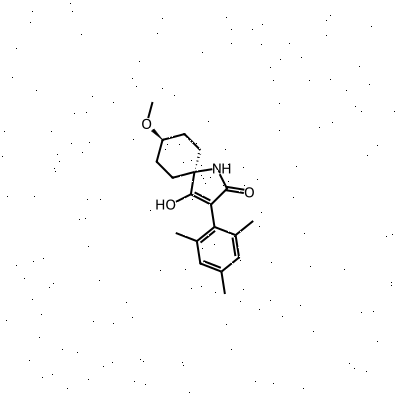 CO[C@H]1CC[C@]2(CC1)NC(=O)C(c1c(C)cc(C)cc1C)=C2O